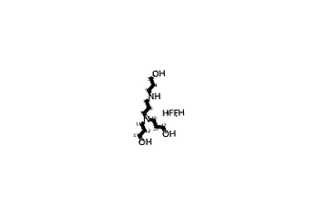 F.F.OCCCNCCCN(CCCO)CCCO